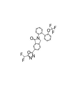 O=C1c2cc(-c3nnc(C(F)F)o3)ccc2CN1c1ccccc1-c1ccccc1OC(F)(F)F